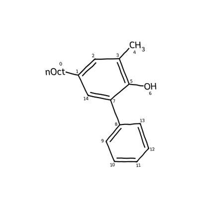 CCCCCCCCc1cc(C)c(O)c(-c2ccccc2)c1